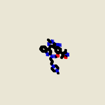 COc1cc2c(cc1-c1c(C)noc1C)[nH]c1nc(C)nc(-c3cc(NCCCN4CCN(C)CC4)nc4ccccc34)c12